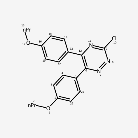 CCCOc1ccc(-c2nnc(Cl)nc2-c2ccc(OCCC)cc2)cc1